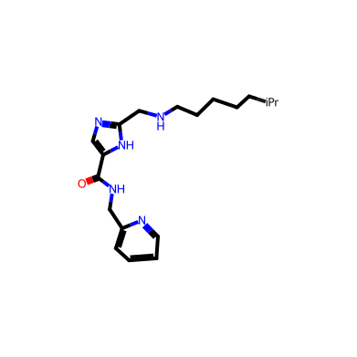 CC(C)CCCCCNCc1ncc(C(=O)NCc2ccccn2)[nH]1